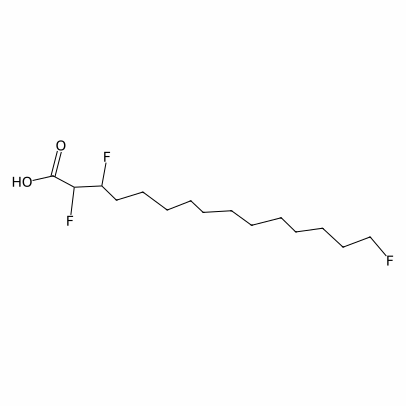 O=C(O)C(F)C(F)CCCCCCCCCCCCF